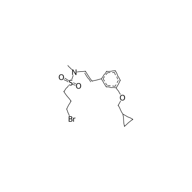 CN(C=Cc1cccc(OCC2CC2)c1)S(=O)(=O)CCCBr